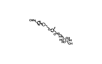 COCc1cnc(N2CCC(CCCOc3ccc(CC(=O)N4CC(CNCC(O)C(O)C(O)C(O)CO)C4)c(F)c3)CC2)nc1